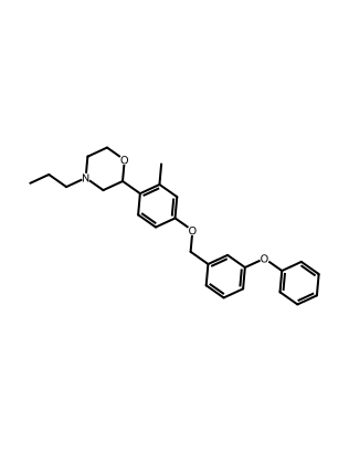 CCCN1CCOC(c2ccc(OCc3cccc(Oc4ccccc4)c3)cc2C)C1